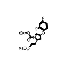 CCOC(=O)/C=C/[C@@H]1C[C@@H](Oc2ccc(F)cc2F)CN1C(=O)OC(C)(C)C